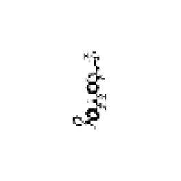 COCCn1cnc2ccc(NC(=O)Nc3ccc(C(=O)N4CCCC4)cc3)cc2c1=O